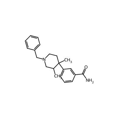 CC1CN(Cc2ccccc2)CCC1(C)c1cccc(C(N)=O)c1